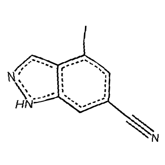 Cc1cc(C#N)cc2[nH]ncc12